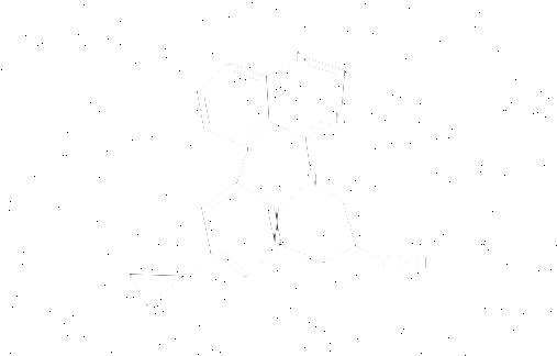 O=C(O)C1CCCN(c2ncnc3cccc(-c4cccc(C5CC5)c4)c23)C1